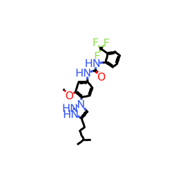 COc1cc(NC(=O)Nc2ccccc2C(F)(F)F)ccc1N1C=C(CCC(C)C)NN1